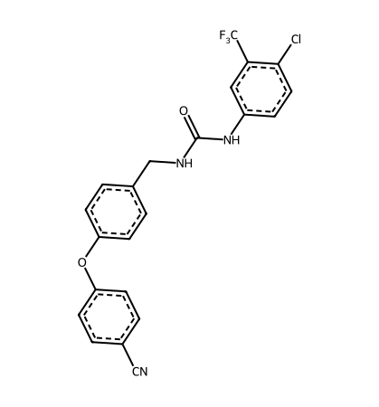 N#Cc1ccc(Oc2ccc(CNC(=O)Nc3ccc(Cl)c(C(F)(F)F)c3)cc2)cc1